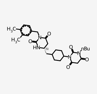 CCCCN1C(=O)CC(=O)N(C2CCC(C[C@H]3CC(=O)N(Cc4ccc(C)c(C)c4)C(=O)N3)CC2)C1=O